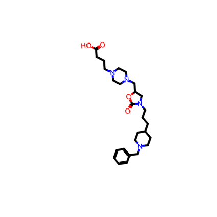 O=C(O)CCCN1CCN(CC2CN(CCCC3CCN(Cc4ccccc4)CC3)C(=O)O2)CC1